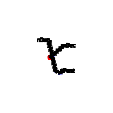 CCCCC/C=C\C/C=C\CCCCCCCC(=O)N(CCCCCCCCCCCCCCCCCC)CCCCCCCCCCCCCCCCCC